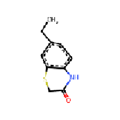 CCc1ccc2c(c1)SCC(=O)N2